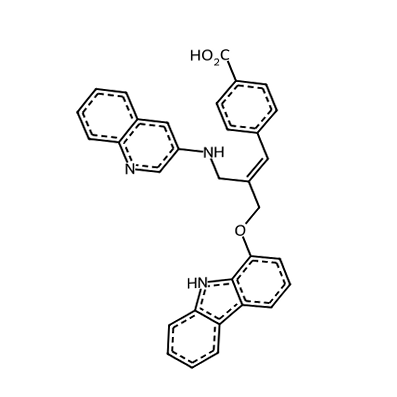 O=C(O)c1ccc(C=C(CNc2cnc3ccccc3c2)COc2cccc3c2[nH]c2ccccc23)cc1